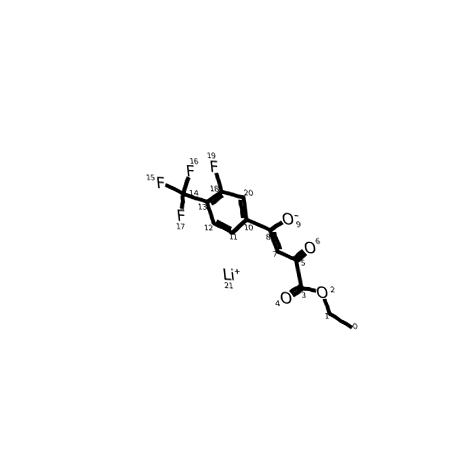 CCOC(=O)C(=O)C=C([O-])c1ccc(C(F)(F)F)c(F)c1.[Li+]